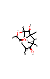 CC(C=O)OC(C)(C)C(=O)C(C)(C)CC(C)(C)C(=O)C(C)C